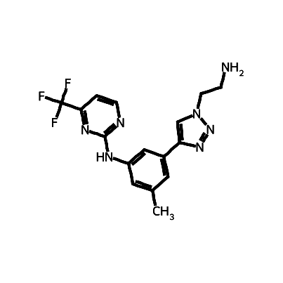 Cc1cc(Nc2nccc(C(F)(F)F)n2)cc(-c2cn(CCN)nn2)c1